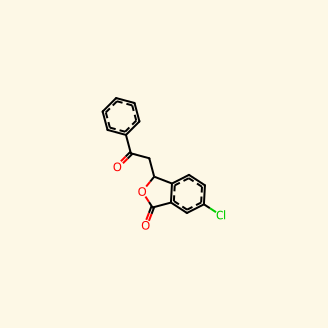 O=C(CC1OC(=O)c2cc(Cl)ccc21)c1ccccc1